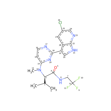 CC(C)[C@H](C(=O)NCC(F)(F)F)N(C)c1ccnc(-c2c[nH]c3ncc(Cl)cc23)n1